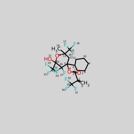 C=C(C(=O)OC1(C2CCCCC2)CC(C)(C(F)(F)F)OC(O)(C(F)(F)F)C1(F)F)C(F)(F)F